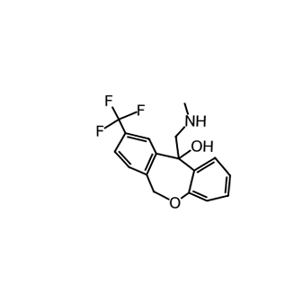 CNCC1(O)c2cc(C(F)(F)F)ccc2COc2ccccc21